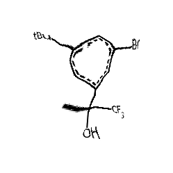 CC(C)(C)c1cc(Br)cc(C(C)(O)C(F)(F)F)c1